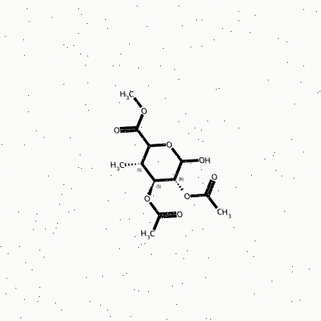 COC(=O)C1OC(O)[C@H](OC(C)=O)[C@@H](OC(C)=O)[C@@H]1C